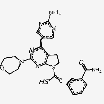 NC(=O)c1ccccc1.Nc1ncc(-c2nc(N3CCOCC3)nc3c2CCN3C(=O)S)cn1